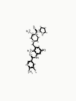 Cc1ncc(C(=O)Nc2cc(Cl)cc(CN3CCN(C(=O)[C@@H]4CCCO4)[C@@H](C)C3)c2C)cc1F